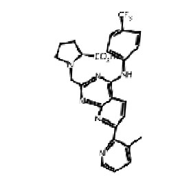 Cc1cccnc1-c1ccc2c(Nc3ccc(C(F)(F)F)cc3)nc(CN3CCC[C@H]3C(=O)O)nc2n1